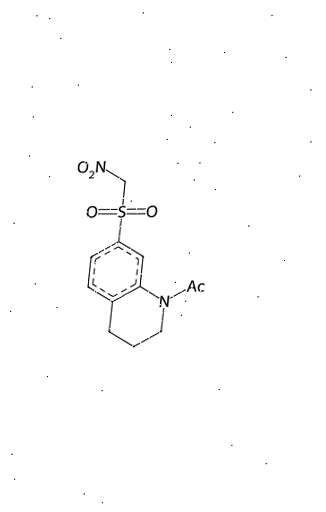 CC(=O)N1CCCc2ccc(S(=O)(=O)C[N+](=O)[O-])cc21